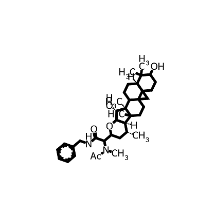 CC(=O)N(C)C(C(=O)NCc1ccccc1)C1C[C@@H](C)[C@H]2C(O1)[C@H](O)[C@@]1(C)C3CC[C@H]4C(C)(C)C(O)CCC45CC35CCC21C